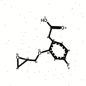 O=C(O)Cc1ccc(F)cc1OCC1CO1